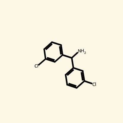 NC(c1cccc(Cl)c1)c1cccc(Cl)c1